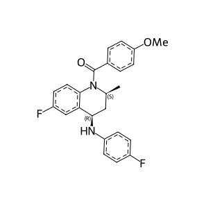 COc1ccc(C(=O)N2c3ccc(F)cc3[C@H](Nc3ccc(F)cc3)C[C@@H]2C)cc1